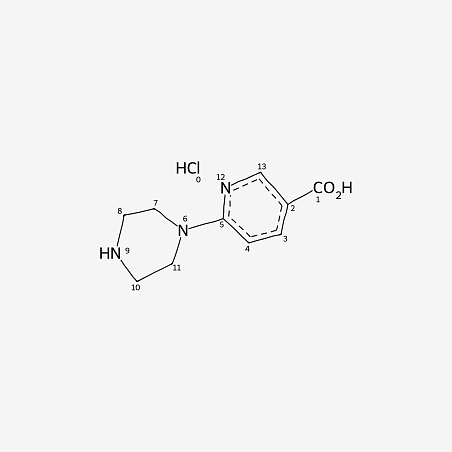 Cl.O=C(O)c1ccc(N2CCNCC2)nc1